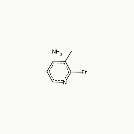 CCc1ncccc1C.N